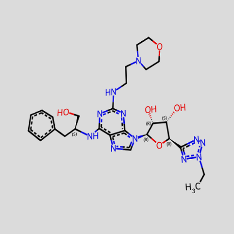 CCn1nnc([C@H]2O[C@@H](n3cnc4c(N[C@H](CO)Cc5ccccc5)nc(NCCN5CCOCC5)nc43)[C@H](O)[C@@H]2O)n1